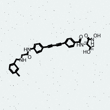 Cc1cccc(CNCC(=O)Nc2ccc(C#CC#Cc3ccc(C(=O)N[C@H](C(=O)NO)[C@@H](C)O)cc3)cc2)c1